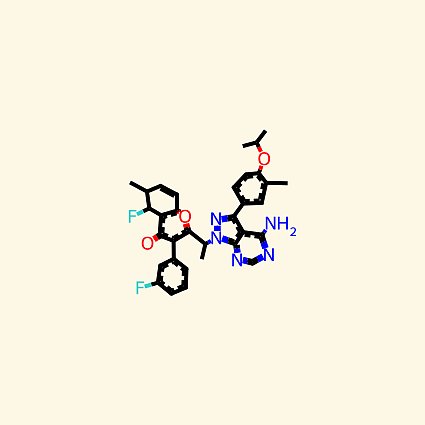 Cc1cc(-c2nn(C(C)c3oc4c(c(=O)c3-c3cccc(F)c3)C(F)C(C)C=C4)c3ncnc(N)c23)ccc1OC(C)C